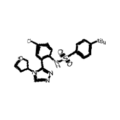 CC(C)(C)c1ccc(S(=O)(=O)Nc2ccc(Cl)cc2-c2nncn2C2CCOC2)cc1